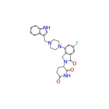 O=C1CCC(N2Cc3c(cc(F)cc3N3CCN(Cc4c[nH]c5ccccc45)CC3)C2=O)C(=O)N1